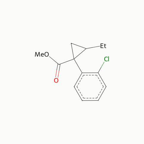 CCC1CC1(C(=O)OC)c1ccccc1Cl